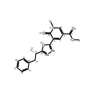 COC(=O)c1cc(-c2nnc([C@@H](C)Cc3ccccc3)o2)c(=O)n(C)c1